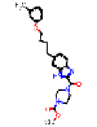 CC(C)(C)OC(=O)N1CCN(C(=O)c2nc3ccc(CCCCOc4cccc(C(F)(F)F)c4)cc3[nH]2)CC1